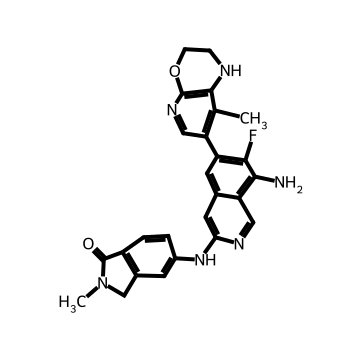 Cc1c(-c2cc3cc(Nc4ccc5c(c4)CN(C)C5=O)ncc3c(N)c2F)cnc2c1NCCO2